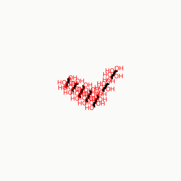 OCC(O)C(O)C(O)C(O)CO.OCC(O)C(O)C(O)C(O)CO.OCC(O)C(O)C(O)C(O)CO.OCC(O)C(O)C(O)CO.OCC(O)C(O)C(O)CO.OCC(O)C(O)C(O)CO.OCC(O)C(O)CO